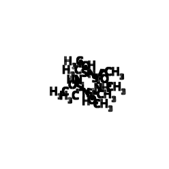 CC[Si]1(OC)N[Si](C)(OC)N[Si](C)(OC)N[Si](C)(OC)N1